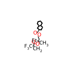 C=C(C(=O)OC(C)(CC)CCOC(=O)c1ccc2ccccc2c1)C(F)(F)F